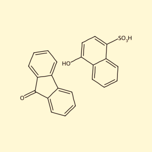 O=C1c2ccccc2-c2ccccc21.O=S(=O)(O)c1ccc(O)c2ccccc12